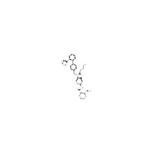 CCCCc1nc2c(n1Cc1ccc(-c3ccccc3-c3nnn[nH]3)cc1)=CCC(=NC(=O)[C@@H]1CCCC[C@@H]1C=O)C=2